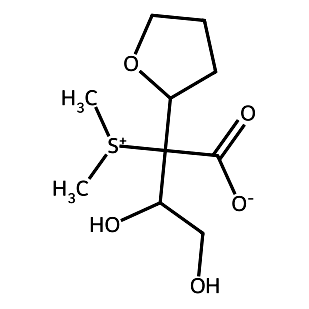 C[S+](C)C(C(=O)[O-])(C(O)CO)C1CCCO1